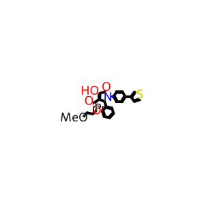 COCCOc1ccccc1C1C(C(=O)C(C)C)=C(O)C(=O)N1c1ccc(-c2ccsc2)cc1